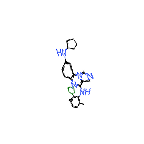 Cc1cccc(Cl)c1Nc1nc2ccc(NC3CCCC3)cc2n2cncc12